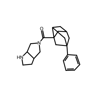 O=C(N1CC2CCNC2C1)C12CC3CC1CC(c1ccccc1)(C3)C2